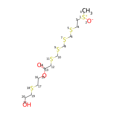 C[S+]([O-])CCSCSCSCSCC(=O)OCCSCCO